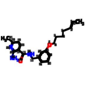 CC=CCCCCOc1cccc(CNC(=O)c2ccc(C)nc2N)c1